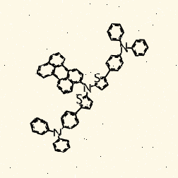 c1ccc(N(c2ccccc2)c2ccc(-c3ccc(N(c4ccc(-c5ccc(N(c6ccccc6)c6ccccc6)cc5)s4)c4ccc5c6cccc7cccc(c8cccc4c85)c76)s3)cc2)cc1